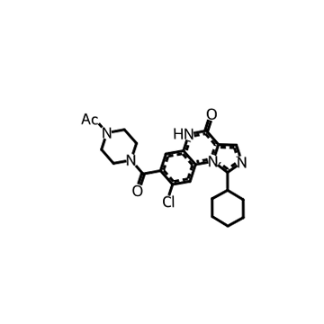 CC(=O)N1CCN(C(=O)c2cc3[nH]c(=O)c4cnc(C5CCCCC5)n4c3cc2Cl)CC1